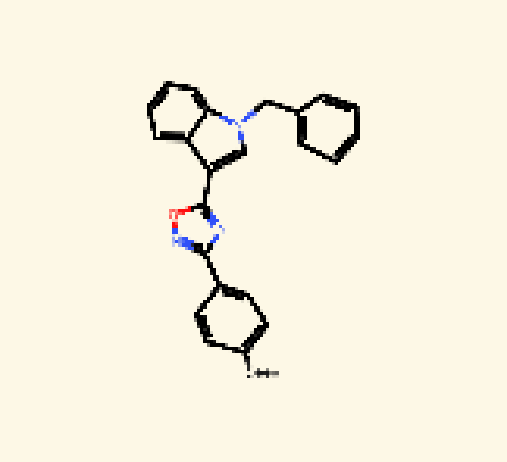 COc1ccc(-c2noc(-c3cn(Cc4ccccc4)c4ccccc34)n2)cc1